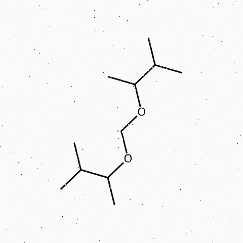 CC(C)C(C)O[CH]OC(C)C(C)C